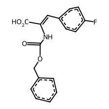 O=C(N/C(=C\c1ccc(F)cc1)C(=O)O)OCc1ccccc1